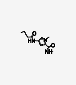 CCCC(=O)Nc1cc(C([NH])=O)n(C)c1